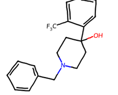 OC1(c2ccccc2C(F)(F)F)CCN(Cc2ccccc2)CC1